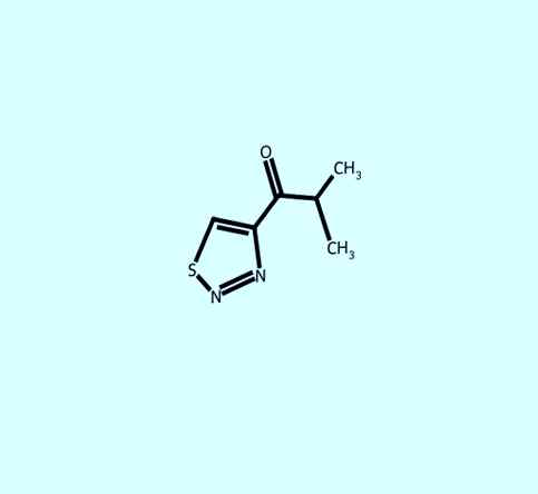 CC(C)C(=O)c1csnn1